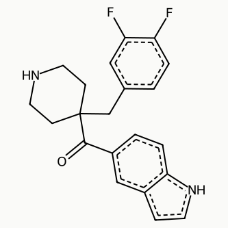 O=C(c1ccc2[nH]ccc2c1)C1(Cc2ccc(F)c(F)c2)CCNCC1